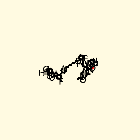 C=CC(=O)N1CCN(c2nc(=O)n(-c3c(C)ccnc3C(C)C)c3nc(-c4c(F)cccc4OCCCCCCCN4CCC(c5cc(F)cc6c5CN(C5CCC(=O)NC5=O)C6=O)CC4)c(F)cc23)C(C)C1